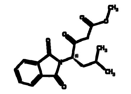 COC(=O)CC(=O)[C@H](CC(C)C)N1C(=O)c2ccccc2C1=O